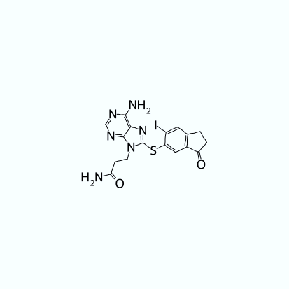 NC(=O)CCn1c(Sc2cc3c(cc2I)CCC3=O)nc2c(N)ncnc21